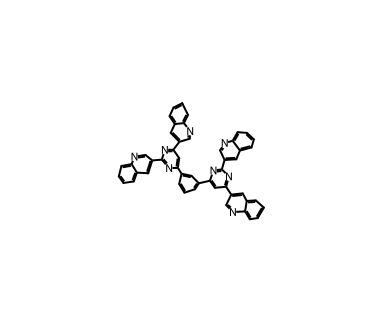 c1cc(-c2cc(-c3cnc4ccccc4c3)nc(-c3cnc4ccccc4c3)n2)cc(-c2cc(-c3cnc4ccccc4c3)nc(-c3cnc4ccccc4c3)n2)c1